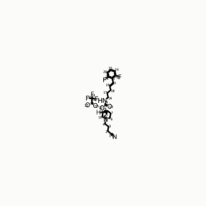 N#CCCC[N+]12CCC(CC1)[C@@H](OC(=O)NCCCC=Cc1c(F)cccc1F)C2.O=C([O-])C(F)(F)F